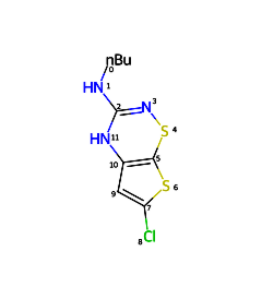 CCCCNC1=NSc2sc(Cl)cc2N1